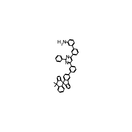 CC1(C)c2ccccc2C2(c3ccccc3-c3cc(-c4cccc(-c5cc(-c6cccc(-c7cccc(N)c7)c6)nc(-c6ccccc6)n5)c4)ccc32)c2ccccc21